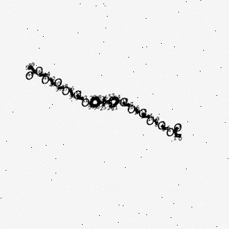 C=CC(=O)OCCOCCOCCOCCOCCOc1ccc(C(C)(C)c2ccc(OCCOCCOCCOCCOCCOC(=O)C=C)cc2)cc1